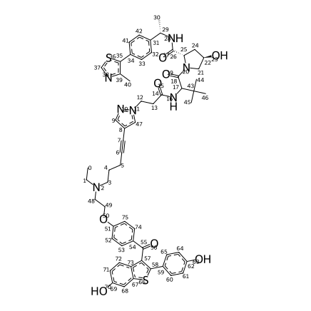 CCN(CCCC#Cc1cnn(CCC(=O)NC(C(=O)N2C[C@H](O)C[C@H]2C(=O)N[C@@H](C)c2ccc(-c3scnc3C)cc2)C(C)(C)C)c1)CCOc1ccc(C(=O)c2c(-c3ccc(O)cc3)sc3cc(O)ccc23)cc1